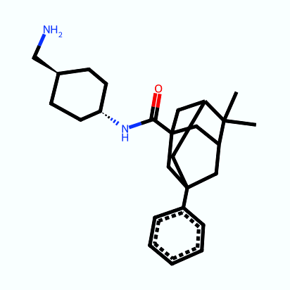 CC1(C)C2CC3(C(=O)N[C@H]4CC[C@H](CN)CC4)CC1CC(c1ccccc1)(C2)C3